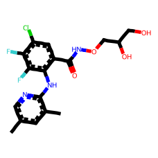 Cc1cnc(Nc2c(C(=O)NOCC(O)CO)cc(Cl)c(F)c2F)c(C)c1